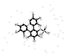 O=P(O)(O)Oc1c(Cl)c(Cl)c(Cl)c(-c2ccc(Br)c(Br)c2Br)c1-c1ccc(Br)c(Br)c1Br